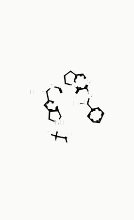 CC[C@@H](Nc1ncc2n(c1=O)[C@H](C(=O)N[C@@H](C)c1cc3c(s1)CNC3)CC2)c1ccccc1.O=C(O)C(F)(F)F